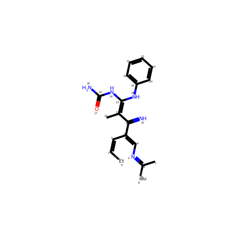 CC\C=C/C(=C\N=C(/C)C(C)CC)C(=N)/C(C)=C(/NC(N)=O)Nc1ccccc1